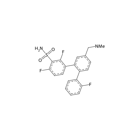 CNCc1ccc(-c2ccccc2F)c(-c2ccc(F)c(S(N)(=O)=O)c2F)c1